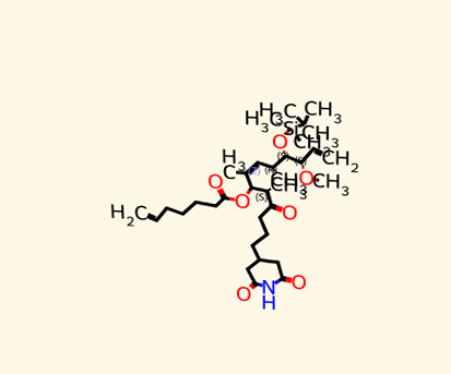 C=CCCCCC(=O)OC(/C(C)=C\[C@@H](C)[C@H](O[Si](C)(C)C(C)(C)C)[C@H](C=C)OC)[C@H](C)C(=O)CCCC1CC(=O)NC(=O)C1